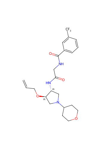 C=CCO[C@@H]1CN(C2CCOCC2)C[C@H]1NC(=O)CNC(=O)c1cccc(C(F)(F)F)c1